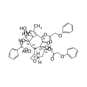 CC(=O)O[C@@]12CO[C@@H]1C[C@H](OC(=O)COc1ccccc1)[C@@]1(C)C(=O)[C@H](OC(=O)COc3ccccc3)C3=C(C)C(O)C[C@@](O)([C@@H](OC(=O)c4ccccc4)[C@H]21)C3(C)C